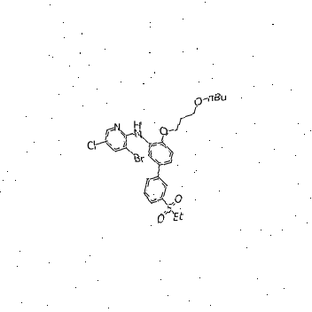 CCCCOCCCOc1ccc(-c2cccc(S(=O)(=O)CC)c2)cc1Nc1ncc(Cl)cc1Br